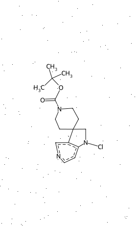 CC(C)(C)OC(=O)N1CCC2(CC1)CN(Cl)c1ccncc12